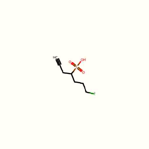 C#CCC(CCCF)S(=O)(=O)O